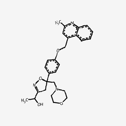 Cc1cc(COc2ccc(C3(CN4CCOCC4)CC(C(C)O)=NO3)cc2)c2ccccc2n1